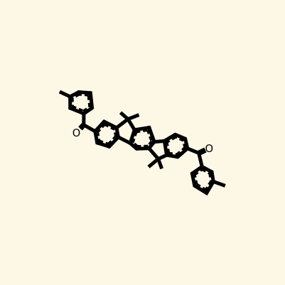 Cc1cccc(C(=O)c2ccc3c(c2)C(C)(C)c2cc4c(cc2-3)C(C)(C)c2cc(C(=O)c3cccc(C)c3)ccc2-4)c1